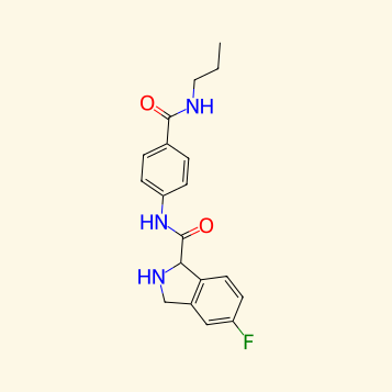 CCCNC(=O)c1ccc(NC(=O)C2NCc3cc(F)ccc32)cc1